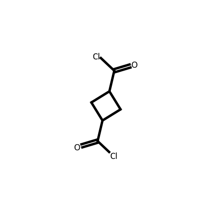 O=C(Cl)C1CC(C(=O)Cl)C1